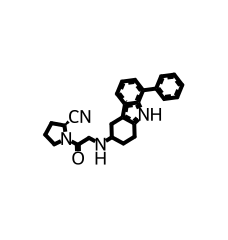 N#C[C@@H]1CCCN1C(=O)CNC1CCc2[nH]c3c(-c4ccccc4)cccc3c2C1